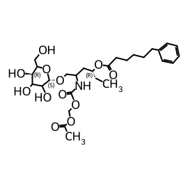 CC[C@H](CC(CO[C@H]1OC(CO)[C@H](O)C(O)C1O)NC(=O)OCOC(C)=O)OC(=O)CCCCCc1ccccc1